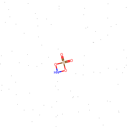 O=S1(=O)ONO1